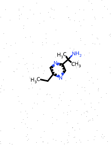 CCc1cnc(C(C)(C)N)cn1